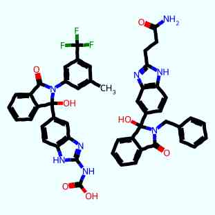 Cc1cc(N2C(=O)c3ccccc3C2(O)c2ccc3[nH]c(NC(=O)O)nc3c2)cc(C(F)(F)F)c1.NC(=O)CCc1nc2cc(C3(O)c4ccccc4C(=O)N3Cc3ccccc3)ccc2[nH]1